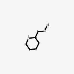 CCNCC1CCCCO1